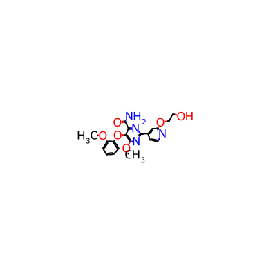 COc1ccccc1Oc1c(OC)nc(-c2ccnc(OCCO)c2)nc1C(N)=O